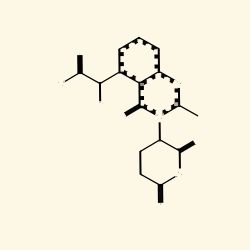 Cc1nc2cccc(C(Cl)C(N)=O)c2c(=O)n1C1CCC(=O)NC1=O